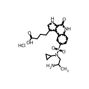 CC(N)CN(C1CC1)S(=O)(=O)c1ccc2[nH]c(=O)c3[nH]cc(CCCC(=O)O)c3c2c1.Cl